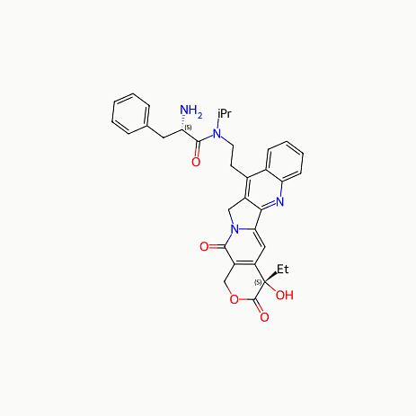 CC[C@@]1(O)C(=O)OCc2c1cc1n(c2=O)Cc2c-1nc1ccccc1c2CCN(C(=O)[C@@H](N)Cc1ccccc1)C(C)C